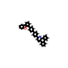 c1ccc2c(c1)oc1c(-c3ccc(-c4ccc(-c5ccc6c7ccccc7c7ccccc7c6n5)cc4)cc3)cccc12